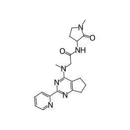 CN1CCC(NC(=O)CN(C)c2nc(-c3ccccn3)nc3c2CCC3)C1=O